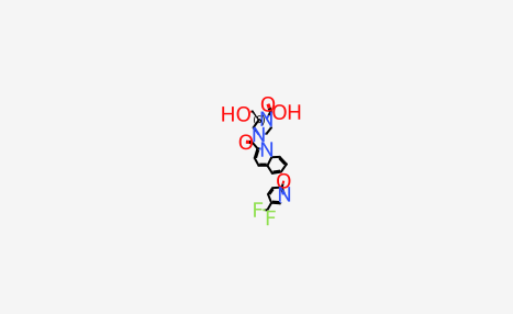 O=C(c1ccc2cc(Oc3ccc(C(F)F)cn3)ccc2n1)N1CCN(C(=O)O)[C@H](CO)C1